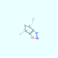 C[C@@H]1C[C@H](C)c2nnoc21